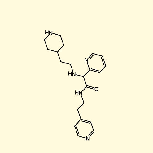 O=C(NCCc1ccncc1)C(NCCC1CCNCC1)c1ccccn1